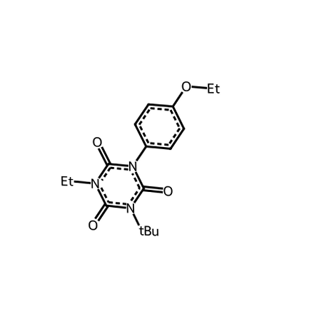 CCOc1ccc(-n2c(=O)n(CC)c(=O)n(C(C)(C)C)c2=O)cc1